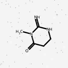 CN1C(=N)NCCC1=O